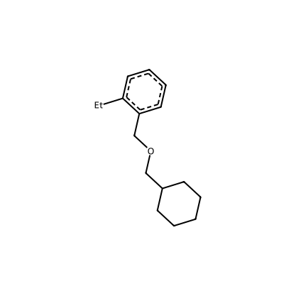 CCc1ccccc1COCC1CCCCC1